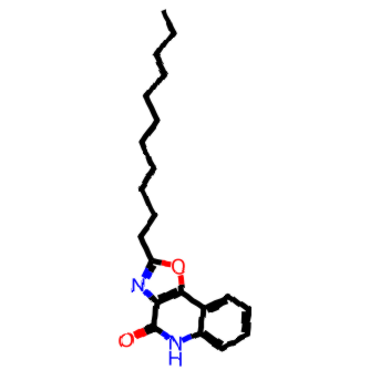 CCCCCCCCCCCc1nc2c(=O)[nH]c3ccccc3c2o1